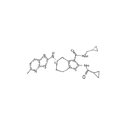 Cc1ccc2nc(N[C@H]3CCc4sc(NC(=O)C5CC5)c(C(=O)NCC5CC5)c4C3)sc2n1